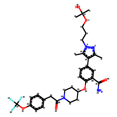 Cc1nn(CCCOC(C)(C)O)c(C)c1-c1ccc(OC2CCN(C(=O)Cc3ccc(OC(F)(F)F)cc3)CC2)c(C(N)=O)c1